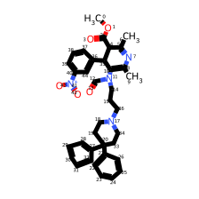 COC(=O)C1C(C)=NC(C)=C(N(C=O)CCCN2CCC(c3ccccc3)(c3ccccc3)CC2)C1c1cccc([N+](=O)[O-])c1